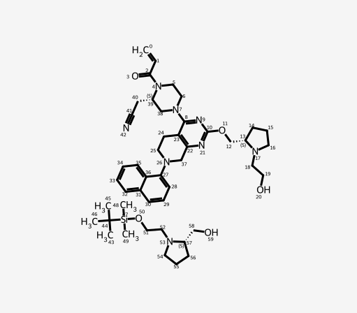 C=CC(=O)N1CCN(c2nc(OC[C@@H]3CCCN3CCO)nc3c2CCN(c2cccc4ccccc24)C3)C[C@@H]1CC#N.CC(C)(C)[Si](C)(C)OCCN1CCC[C@H]1CO